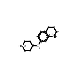 c1cc2c(cc1OC1CCNCC1)NCCC2